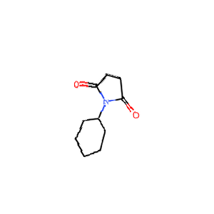 O=C1CCC(=O)N1C1CCCCC1